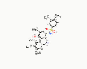 COc1cc(NS(=O)(=O)c2ccc(OC)c([N+](=O)[O-])c2)c(/C=C\c2cc(OC)c(OC)c(OC)c2)cc1O